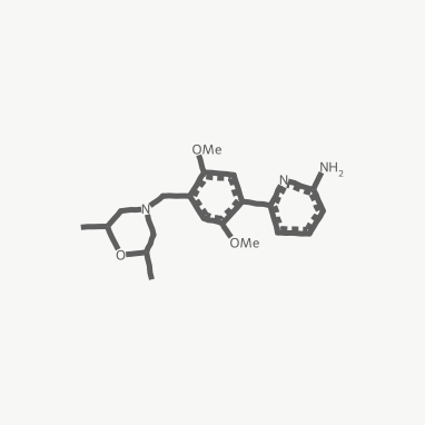 COc1cc(-c2cccc(N)n2)c(OC)cc1CN1CC(C)OC(C)C1